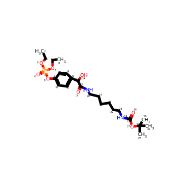 CCOP(=O)(OCC)Oc1ccc(C(O)C(=O)NCCCCCCNC(=O)OC(C)(C)C)cc1